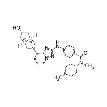 CN1CCC(N(C)C(=O)c2ccc(Nc3nc4c(N5C[C@H]6CC(O)C[C@H]6C5)cccn4n3)cc2)CC1